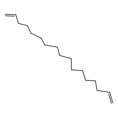 C=CCCCCCCCCCCCCCC=C